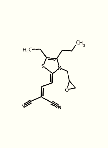 CCCC1=C(CC)SC(=CC=C(C#N)C#N)N1CC1CO1